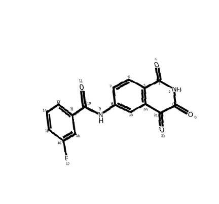 O=C1NC(=O)c2ccc(NC(=O)c3cccc(F)c3)cc2C1=O